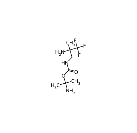 CC(C)(N)OC(=O)NCC(C)(N)C(F)(F)F